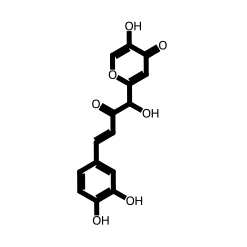 O=C(/C=C/c1ccc(O)c(O)c1)C(O)c1cc(=O)c(O)co1